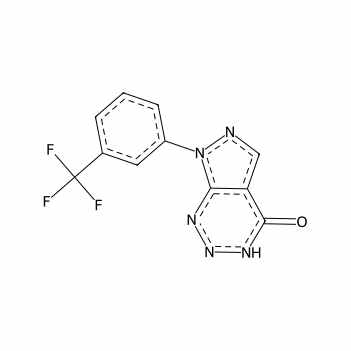 O=c1[nH]nnc2c1cnn2-c1cccc(C(F)(F)F)c1